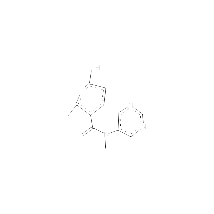 Cc1cc(O)ccc1C(=O)N(C)c1cncnc1